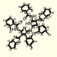 Cc1ccc(C2=C(c3nc4ccccc4s3)C(NC(=O)c3ccccc3C)=N/C2=N\c2[nH]c(NC(=O)c3ccccc3C)c(-c3nc4ccccc4s3)c2-c2ccc(C)cc2C)c(C)c1